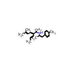 C=C(NC(C)Cc1ccc(C)cc1)/C(C=CC)=C/C=C(C)C